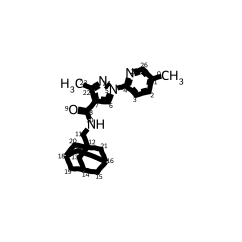 Cc1ccc(-n2cc(C(=O)NCC34CC5CC(CC(C5)C3)C4)c(C)n2)nc1